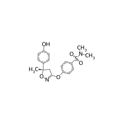 CN(C)S(=O)(=O)c1ccc(OC2=NO[C@](C)(c3ccc(O)cc3)C2)cc1